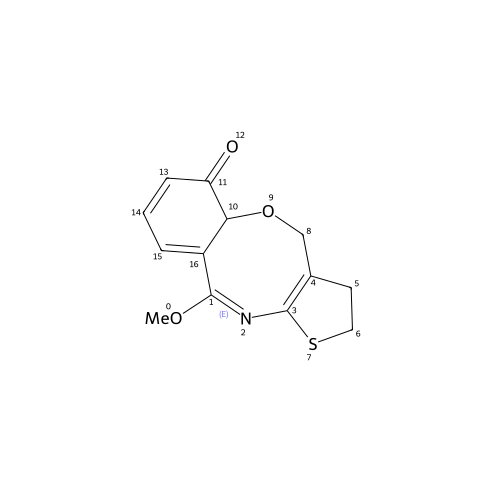 CO/C1=N/C2=C(CCS2)COC2C(=O)C=CC=C12